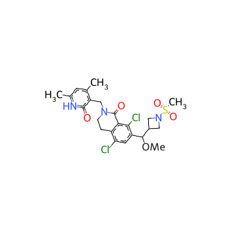 COC(c1cc(Cl)c2c(c1Cl)C(=O)N(Cc1c(C)cc(C)[nH]c1=O)CC2)C1CN(S(C)(=O)=O)C1